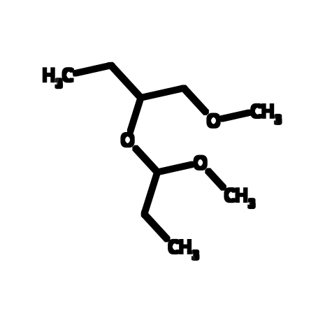 CCC(COC)OC(CC)OC